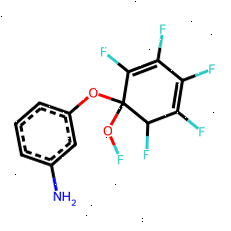 Nc1cccc(OC2(OF)C(F)=C(F)C(F)=C(F)C2F)c1